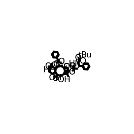 CC(=O)O[C@@]12CO[C@@H]1C[C@H](O)[C@@]1(C)C(=O)[C@H](O)C3=C(C)[C@@H](OC(=O)C[C@@H](NC(=O)OC(C)(C)C)c4ccccc4)C[C@@](O)(C[C@@H](OC(=O)c4ccccc4)[C@H]21)C3(C)C